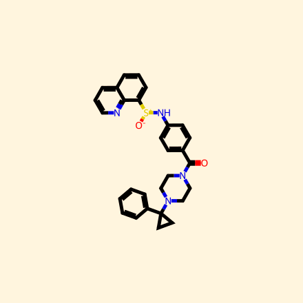 O=C(c1ccc(N[S+]([O-])c2cccc3cccnc23)cc1)N1CCN(C2(c3ccccc3)CC2)CC1